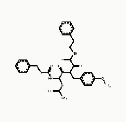 COc1ccc(CC(C(=O)C(=O)NCCc2ccccc2)C(=O)C(CC(C)C)NC(=O)OCc2ccccc2)cc1